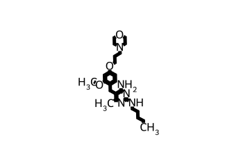 CCCCCNc1nc(C)c(Cc2ccc(OCCCN3CCOCC3)cc2OC)c(N)n1